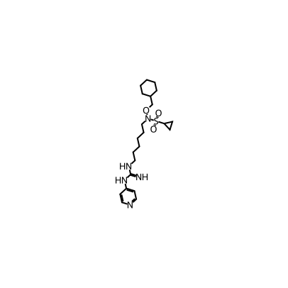 N=C(NCCCCCCN(OCC1CCCCC1)S(=O)(=O)C1CC1)Nc1ccncc1